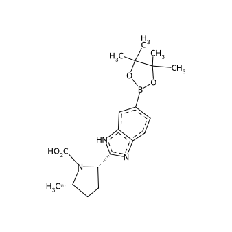 C[C@H]1CC[C@@H](c2nc3ccc(B4OC(C)(C)C(C)(C)O4)cc3[nH]2)N1C(=O)O